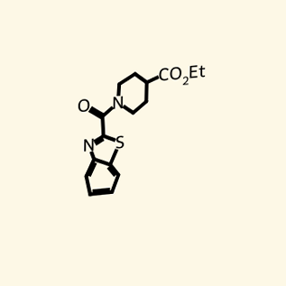 CCOC(=O)C1CCN(C(=O)c2nc3ccccc3s2)CC1